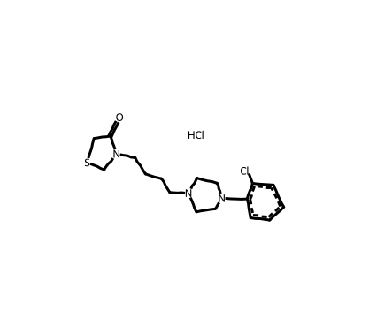 Cl.O=C1CSCN1CCCCN1CCN(c2ccccc2Cl)CC1